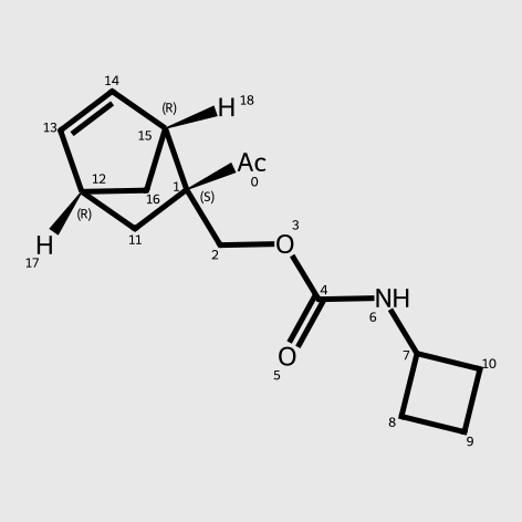 CC(=O)[C@@]1(COC(=O)NC2CCC2)C[C@@H]2C=C[C@H]1C2